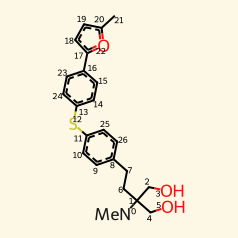 CNC(CO)(CO)CCc1ccc(Sc2ccc(-c3ccc(C)o3)cc2)cc1